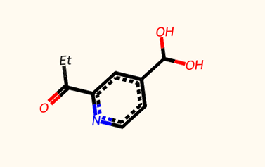 CCC(=O)c1cc(C(O)O)ccn1